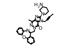 CC#CCn1c(N2CCC[C@@H](N)C2)nc2c(C)nn(CC3=Nc4ccccc4Oc4ccccc43)c(=O)c21